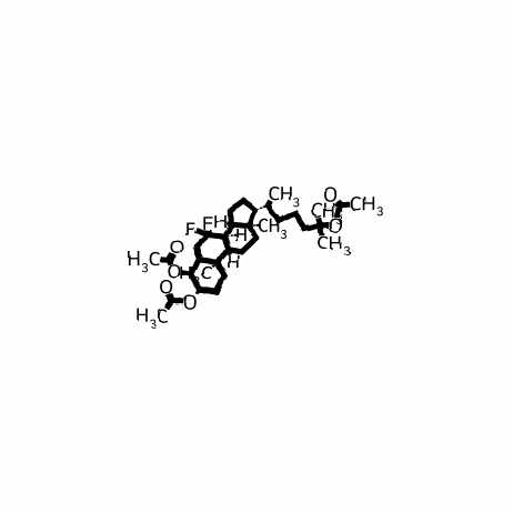 CC(=O)OC1C2CC(F)(F)[C@H]3[C@@H]4CC[C@H](C(C)CCCC(C)(C)OC(C)=O)[C@@]4(C)CC[C@@H]3[C@@]2(C)CC[C@@H]1OC(C)=O